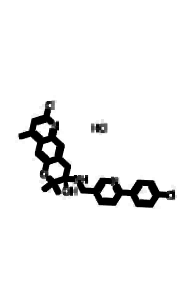 Cc1cc(Cl)nc2cc3c(cc12)OC(C)(C)[C@@](O)(NCc1ccc(-c2ccc(Cl)cc2)nc1)C3.Cl